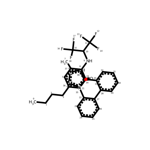 CCCCc1cc(C)c(NC(C(F)(F)F)C(F)(F)F)c(=O)n1-c1ccccc1-c1ccccc1-c1nnn[nH]1